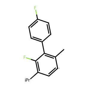 Cc1[c]cc(C(C)C)c(F)c1-c1ccc(F)cc1